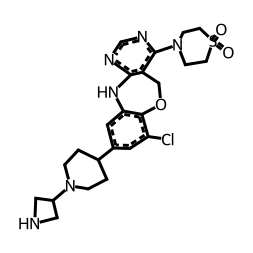 O=S1(=O)CCN(c2ncnc3c2COc2c(Cl)cc(C4CCN(C5CNC5)CC4)cc2N3)CC1